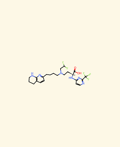 O=C(O)[C@H](CCN(CCCCc1ccc2c(n1)NCCC2)CC(F)F)Nc1ccnc(C(F)(F)F)n1